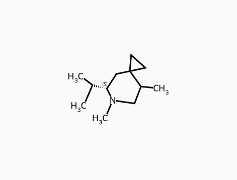 CC(C)[C@@H]1CC2(CC2)C(C)CN1C